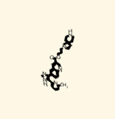 Cc1cccc(-c2[nH]cnc2-c2ccc3ncc(C(=O)OCCCN4CCC5(CCNCC5)C4)cc3c2)n1